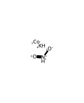 O=[NH+][O-].[Co].[KH]